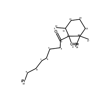 COC1(C(=O)CCCCCCC(C)C)C(C)CCCC1(C)C